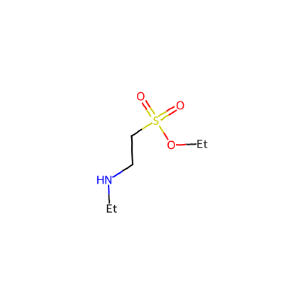 CCNCCS(=O)(=O)OCC